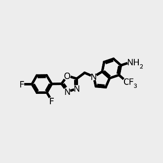 Nc1ccc2c(ccn2Cc2nnc(-c3ccc(F)cc3F)o2)c1C(F)(F)F